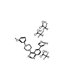 COc1cccc(N2CCN(c3ncnc4ccc(-c5cn[nH]c5)cc34)CC2)c1.O=C(O)C(F)(F)F.O=C(O)C(F)(F)F.O=C(O)C(F)(F)F